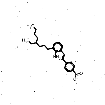 CCCCC(CC)CCCc1cccc(C=Cc2ccc([N+](=O)[O-])cc2)c1N